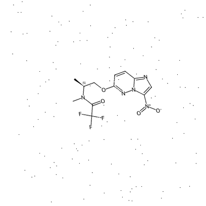 C[C@@H](COc1ccc2ncc([N+](=O)[O-])n2n1)N(C)C(=O)C(F)(F)F